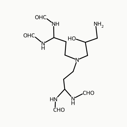 NCC(O)CN(CCC(NC=O)NC=O)CCC(NC=O)NC=O